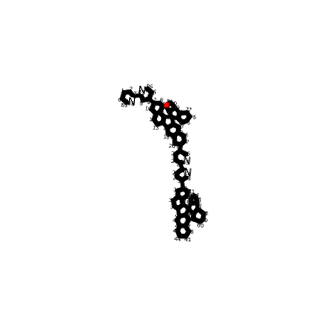 c1ccc(-c2cc(-c3ccc4c5c(ccc4c3)-c3cc4cc(-c6ccc(-c7ccc(-c8ccc9c%10c(ccc9c8)-c8cc9ccccc9cc8C%108c9ccccc9-c9ccccc98)cn7)nc6)ccc4cc3C53c4ccccc4-c4ccccc43)ccn2)nc1